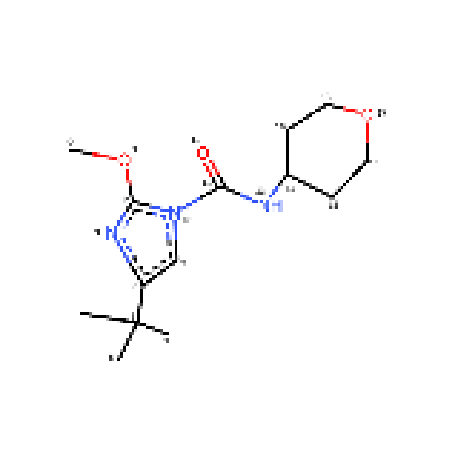 COc1nc(C(C)(C)C)cn1C(=O)NC1CCOCC1